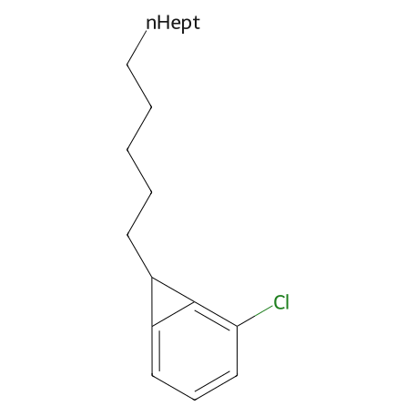 CCCCCCCCCCCCC1c2cccc(Cl)c21